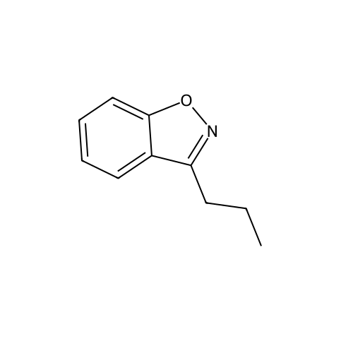 CCCc1noc2ccccc12